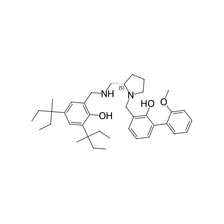 CCC(C)(CC)c1cc(CNC[C@@H]2CCCN2Cc2cccc(-c3ccccc3OC)c2O)c(O)c(C(C)(CC)CC)c1